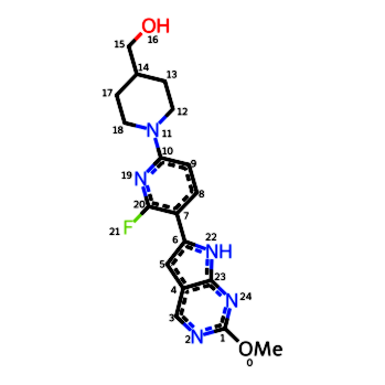 COc1ncc2cc(-c3ccc(N4CCC(CO)CC4)nc3F)[nH]c2n1